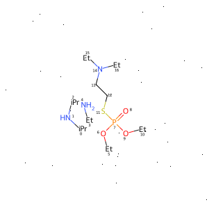 CC(C)NC(C)C.CCN.CCOP(=O)(OCC)SCCN(CC)CC